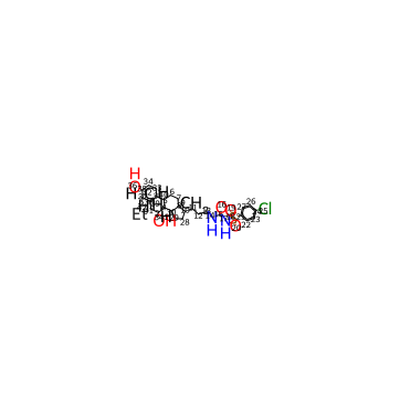 CC[C@H]1[C@@H](O)[C@@H]2[C@H](CC[C@]3(C)[C@@H](CCCNC(=O)NS(=O)(=O)c4ccc(Cl)cc4)CC[C@@H]23)[C@@]2(C)CC[C@@H](O)C[C@@H]12